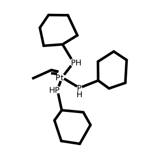 C[CH]=[Pt]([PH]C1CCCCC1)([PH]C1CCCCC1)[PH]C1CCCCC1